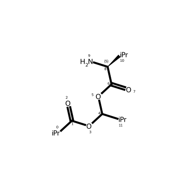 CC(C)C(=O)OC(OC(=O)[C@@H](N)C(C)C)C(C)C